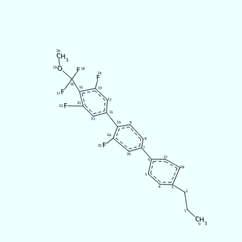 CCCc1ccc(-c2ccc(-c3cc(F)c(C(F)(F)OC)c(F)c3)c(F)c2)cc1